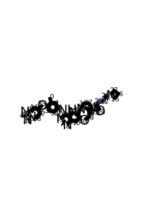 Cc1cc(Nc2ncnc3cc4c(nc23)N2CCN(C(=O)/C=C/CN3CCC3)[C@H](CO4)C2)ccc1Oc1ccn2ncnc2c1